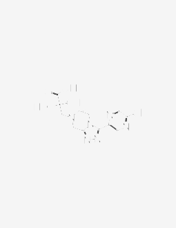 CC(C)(CN1CCn2c(nnc2-c2cnc(Cl)cn2)C1)C(=O)O